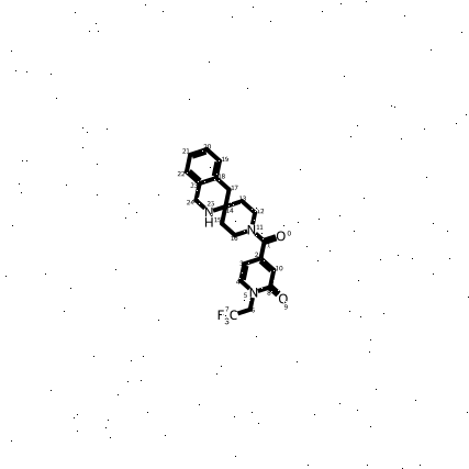 O=C(c1ccn(CC(F)(F)F)c(=O)c1)N1CCC2(CC1)Cc1ccccc1CN2